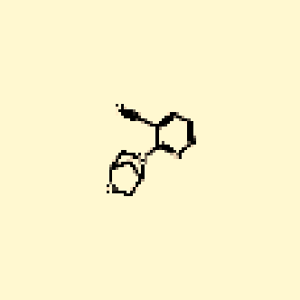 N#Cc1cccnc1N1CC2CC1CO2